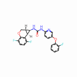 O=C(Nc1ccc(Oc2ccccc2F)cn1)N[C@@H]1[C@H]2COc3c(F)ccc(F)c3[C@@H]21